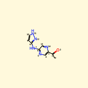 CC(=O)c1cnc(Nc2cc[nH]n2)cn1